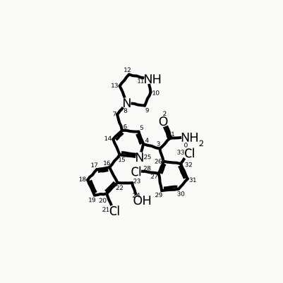 NC(=O)C(c1cc(CN2CCNCC2)cc(-c2cccc(Cl)c2CO)n1)c1c(Cl)cccc1Cl